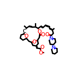 COC(=O)/C=C1\CC2CC(=O)OC(/C=C/C=C\C=C(/C)CC(=O)N3CCC(N4CCCCC4)CC3)C(C)/C=C/C(C)CC3CCCC(CC(C1)O2)O3